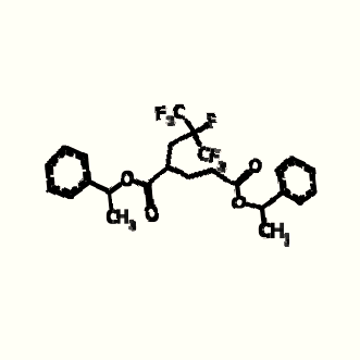 CC(OC(=O)CCC(CC(F)(C(F)(F)F)C(F)(F)F)C(=O)OC(C)c1ccccc1)c1ccccc1